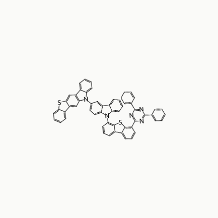 C1=CC(c2nc(-c3ccccc3)nc(-c3cccc4c3sc3c(-n5c6ccccc6c6cc(-n7c8ccccc8c8cc9sc%10ccccc%10c9cc87)ccc65)cccc34)n2)=CCC1